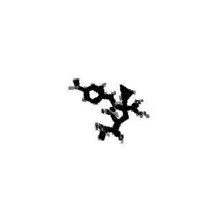 CNC(=O)C1=CC(C(N)=O)(C2CC2)N(Cc2ccc(OC)cc2)N1